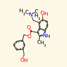 Cc1[nH]c2ccc(O)c(CN(C)C)c2c1C(=O)OCc1cccc(CO)c1